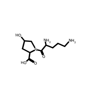 NCCCC(N)C(=O)N1CC(O)CC1C(=O)O